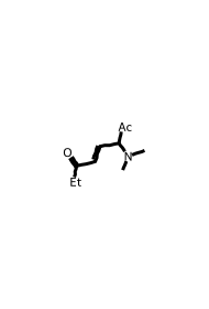 CCC(=O)C=CC(C(C)=O)N(C)C